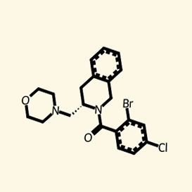 O=C(c1ccc(Cl)cc1Br)N1Cc2ccccc2C[C@H]1CN1CCOCC1